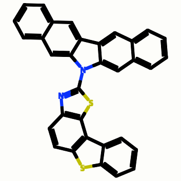 c1ccc2cc3c(cc2c1)c1cc2ccccc2cc1n3-c1nc2ccc3sc4ccccc4c3c2s1